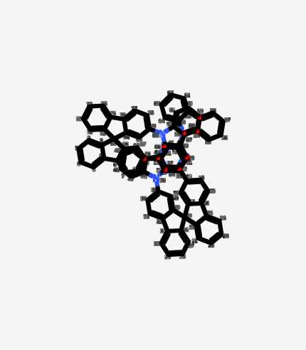 c1ccc2c(c1)-c1ccc(-c3nc(-c4ccc5c(c4)C4(c6ccccc6-5)c5ccccc5-c5ccc(-n6c7ccccc7c7ccccc76)cc54)nc(-n4c5ccccc5c5ccccc54)n3)cc1C21c2ccccc2-c2ccc(-n3c4ccccc4c4ccccc43)cc21